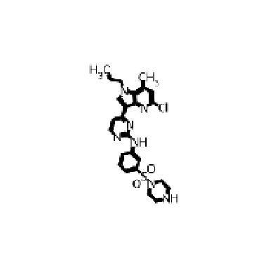 CCCn1cc(-c2ccnc(Nc3cccc(S(=O)(=O)N4CCNCC4)c3)n2)c2nc(Cl)cc(C)c21